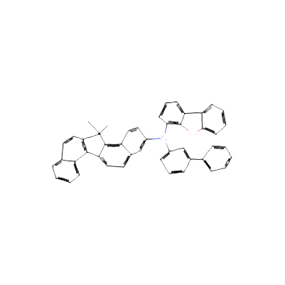 CC1(C)c2ccc3ccccc3c2-c2ccc3cc(N(c4cccc(-c5ccccc5)c4)c4cccc5c4oc4ccccc45)ccc3c21